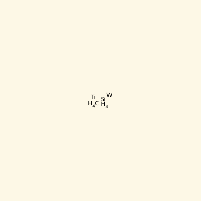 C.[SiH4].[Ti].[W]